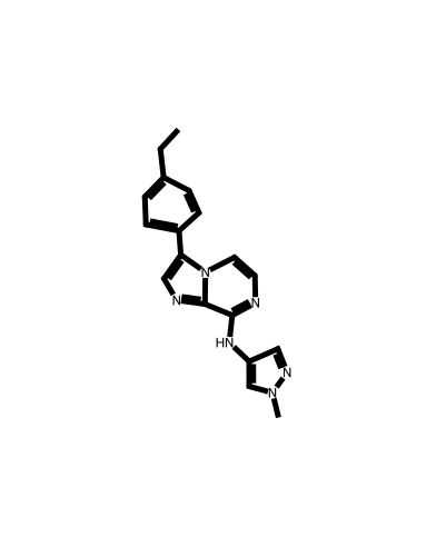 CCc1ccc(-c2cnc3c(Nc4cnn(C)c4)nccn23)cc1